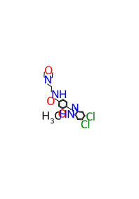 COc1cc(C(=O)NCCCN2CCOCC2)ccc1-c1nc2cc(Cl)c(Cl)cc2[nH]1